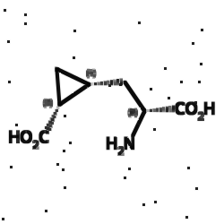 N[C@H](C[C@H]1C[C@H]1C(=O)O)C(=O)O